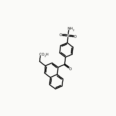 NS(=O)(=O)c1ccc(C(=O)c2cc(CC(=O)O)cc3ccccc23)cc1